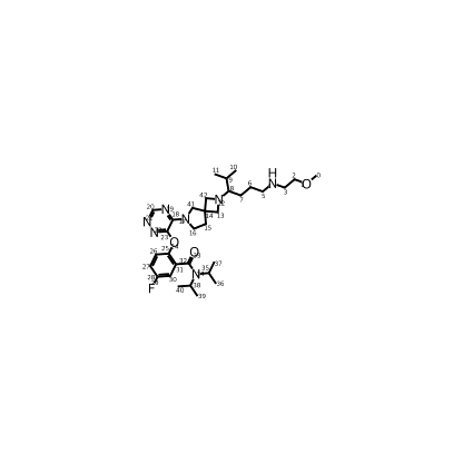 COCCNCCCC(C(C)C)N1CC2(CCN(c3ncnnc3Oc3ccc(F)cc3C(=O)N(C(C)C)C(C)C)C2)C1